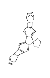 C1=CC2CC1C1c3cc4c(cc3C21)C1(CCCC1)c1cc2c(cc1-4)C1C3C=CC(C3)C21